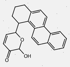 O=C1C=CC(C2CCCc3ccc4c(ccc5ccccc54)c32)OC1O